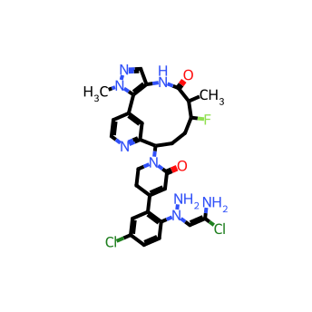 CC1C(=O)Nc2cnn(C)c2-c2ccnc(c2)C(N2CCC(c3cc(Cl)ccc3N(N)/C=C(\N)Cl)=CC2=O)CCC1F